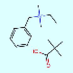 CC(C)(C)C(=O)O.CC[N+](C)(C)Cc1ccccc1